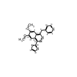 COc1cc2c(Cc3ccncc3)nnc(-c3nccs3)c2cc1OC